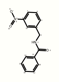 O=C(NCc1cccc([N+](=O)[O-])c1)c1ccccc1